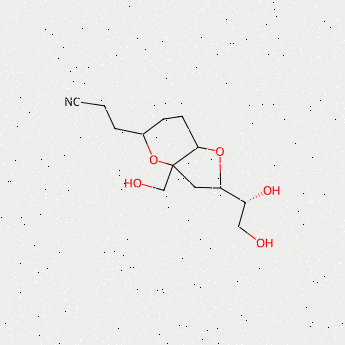 N#CCCC1CCC2OC([C@H](O)CO)CC2(CO)O1